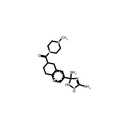 CN1CCN(C(=O)C2CCc3ncc(C4(N)N=C(N)NN4)cc3C2)CC1